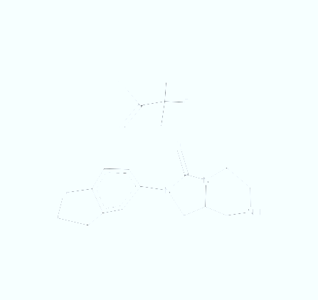 O=C(O)C(F)(F)F.O=C1N(c2ccc3c(c2)CCO3)CC2CNCCN12